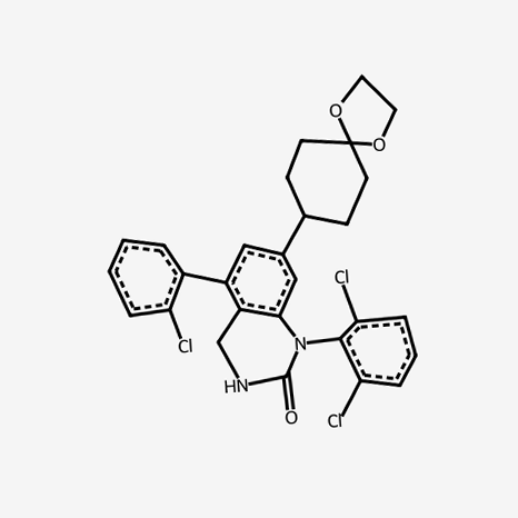 O=C1NCc2c(-c3ccccc3Cl)cc(C3CCC4(CC3)OCCO4)cc2N1c1c(Cl)cccc1Cl